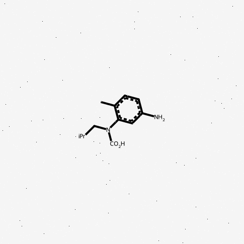 Cc1ccc(N)cc1N(CC(C)C)C(=O)O